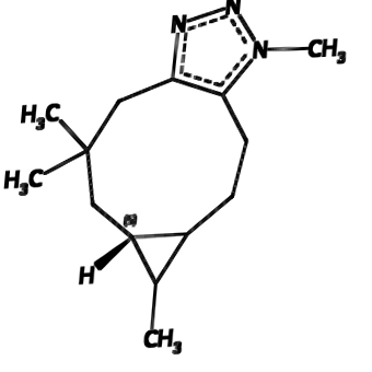 CC1C2CCc3c(nnn3C)CC(C)(C)C[C@@H]12